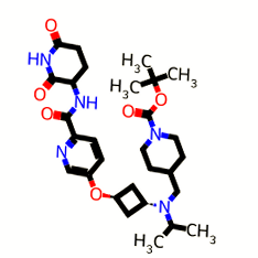 CC(C)N(CC1CCN(C(=O)OC(C)(C)C)CC1)[C@H]1C[C@H](Oc2ccc(C(=O)NC3CCC(=O)NC3=O)nc2)C1